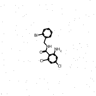 Nc1cc(Cl)cc(Cl)c1C(=O)NCc1ccccc1Br